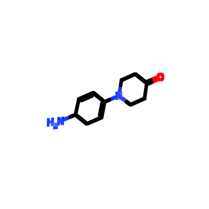 NC1C=CC(N2CCC(=O)CC2)=CC1